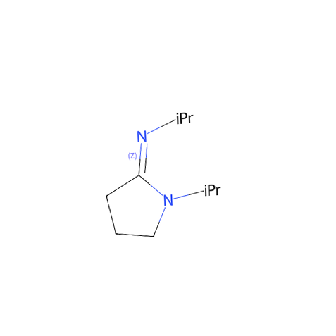 CC(C)/N=C1/CCCN1C(C)C